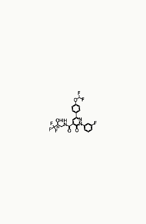 O=C(NC[C@H](O)C(F)(F)F)c1cc(-c2ccc(OC(F)F)cc2)nn(-c2cccc(F)c2)c1=O